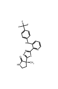 C[C@@]1(c2nnc(-c3ncccc3Nc3ccc(C(F)(F)F)cc3)s2)CCNC1=O